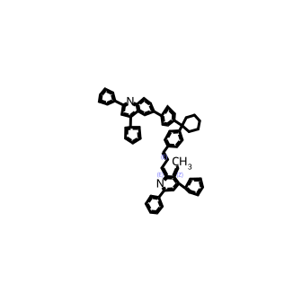 C/C=c1/c(-c2ccccc2)cc(-c2ccccc2)n/c1=C/C=C/c1ccc(C2(c3ccc(-c4ccc5nc(-c6ccccc6)cc(-c6ccccc6)c5c4)cc3)CCCCC2)cc1